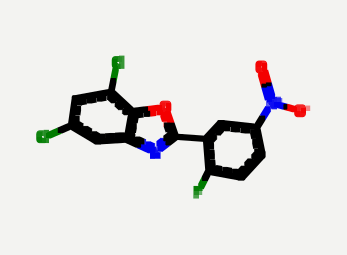 O=[N+]([O-])c1ccc(F)c(-c2nc3cc(Cl)cc(Cl)c3o2)c1